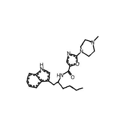 CCCCC(Cc1c[nH]c2ccccc12)NC(=O)c1cnc(N2CCN(C)CC2)o1